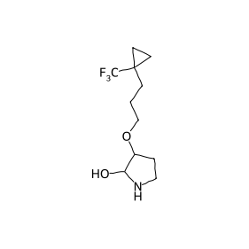 OC1NCCC1OCCCC1(C(F)(F)F)CC1